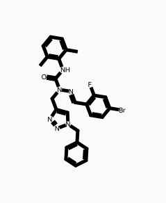 Cc1cccc(C)c1NC(=O)N(Cc1cn(Cc2ccccc2)nn1)/N=C/c1ccc(Br)cc1F